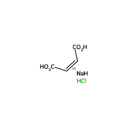 Cl.O=C(O)/C=C\C(=O)O.[NaH]